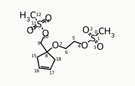 CS(=O)(=O)OCCOC1(COS(C)(=O)=O)CC=CC1